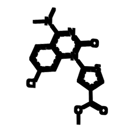 COC(=O)c1csc(-n2c(=O)nc(N(C)C)c3ccc(Cl)cc32)c1